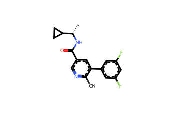 C[C@H](NC(=O)c1cnc(C#N)c(-c2cc(F)cc(F)c2)c1)C1CC1